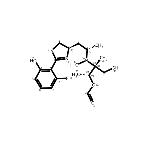 C[C@@H](C[C@@H]1CSC(c2c(O)cccc2F)=N1)N(C)[C@](C)(CS)[C@@H](C)OC=O